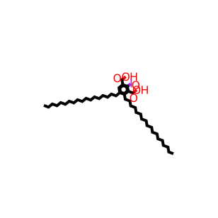 CCCCCCCCCCCCCCCCCCc1cc(C(=O)O)c(I=O)c(C(=O)O)c1CCCCCCCCCCCCCCCCCC